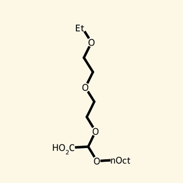 CCCCCCCCOC(OCCOCCOCC)C(=O)O